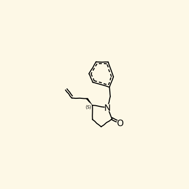 C=CC[C@@H]1CCC(=O)N1Cc1ccccc1